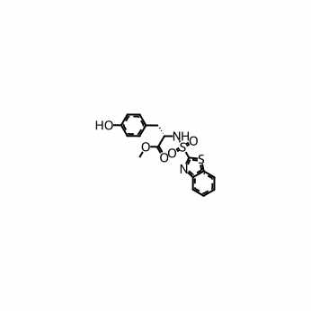 COC(=O)[C@H](Cc1ccc(O)cc1)NS(=O)(=O)c1nc2ccccc2s1